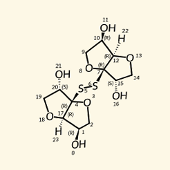 O[C@@H]1CO[C@]2(SS[C@@]34OC[C@@H](O)[C@H]3OC[C@@H]4O)[C@@H]1OC[C@@H]2O